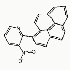 O=[N+]([O-])c1cccnc1-c1ccc2ccc3cccc4ccc1c2c34